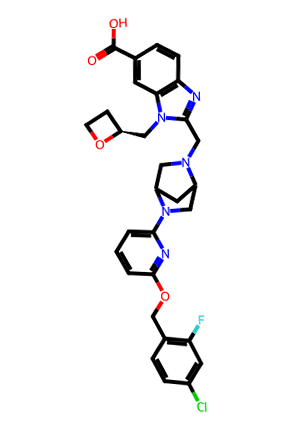 O=C(O)c1ccc2nc(CN3CC4CC3CN4c3cccc(OCc4ccc(Cl)cc4F)n3)n(C[C@@H]3CCO3)c2c1